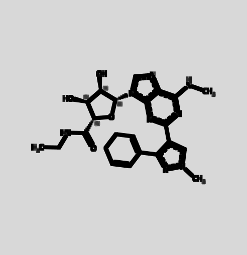 CCNC(=O)[C@H]1O[C@@H](n2cnc3c(NC)nc(-c4cn(C)nc4C4=CCCC=C4)nc32)[C@H](O)[C@@H]1O